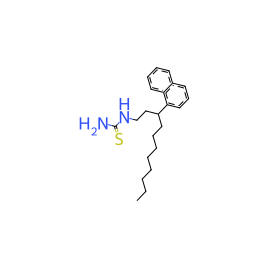 CCCCCCCCC(CCNC(N)=S)c1cccc2ccccc12